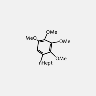 CCCCCCCc1cc(OC)c(OC)c(OC)c1OC